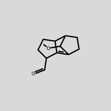 COC1C2=C3C(C=O)CCC3C1CC2